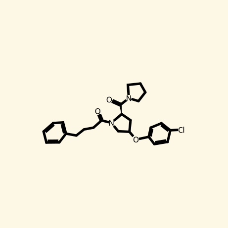 O=C([C@H]1CC(Oc2ccc(Cl)cc2)CN1C(=O)CCCc1ccccc1)N1CCCC1